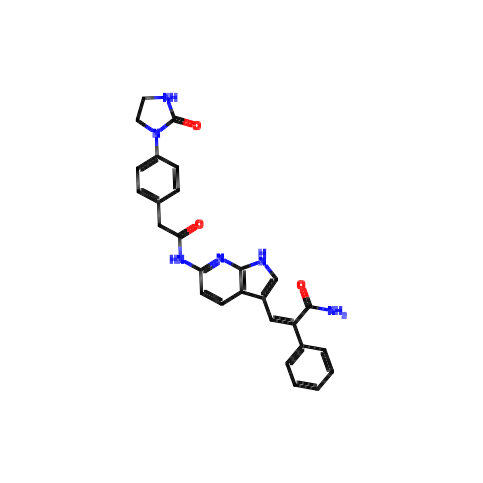 NC(=O)C(=Cc1c[nH]c2nc(NC(=O)Cc3ccc(N4CCNC4=O)cc3)ccc12)c1ccccc1